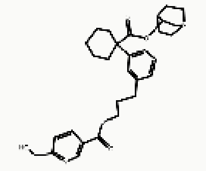 O=C(OCCCc1cccc(C2(C(=O)OC3CN4CCC3CC4)CCCCC2)c1)c1ccc(CO)nc1